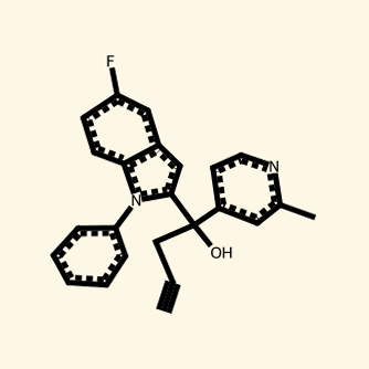 C#CCC(O)(c1ccnc(C)c1)c1cc2cc(F)ccc2n1-c1ccccc1